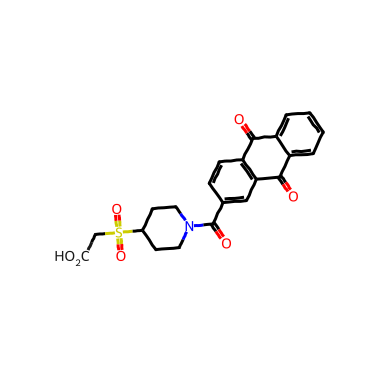 O=C(O)CS(=O)(=O)C1CCN(C(=O)c2ccc3c(c2)C(=O)c2ccccc2C3=O)CC1